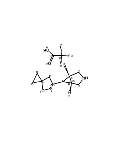 C1NC[C@H]2C(C3=NOC4(CC4)C3)[C@@H]12.O=C(O)C(F)(F)F